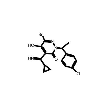 CC(c1ccc(Cl)cc1)n1nc(Br)c(O)c(C(=N)C2CC2)c1=O